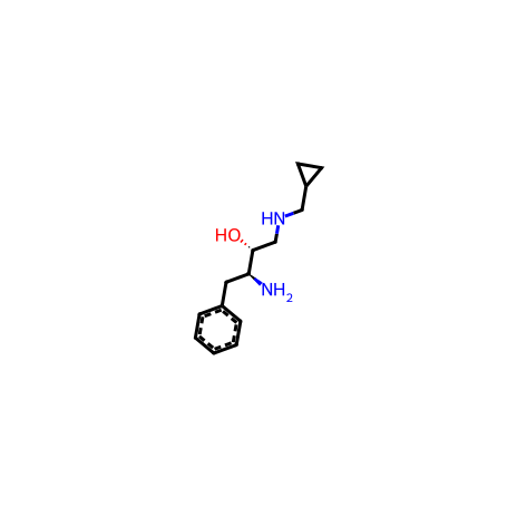 N[C@@H](Cc1ccccc1)[C@H](O)CNCC1CC1